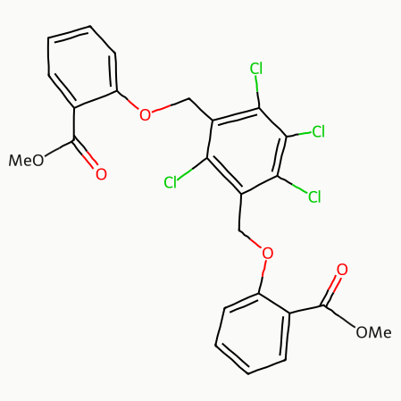 COC(=O)c1ccccc1OCc1c(Cl)c(Cl)c(Cl)c(COc2ccccc2C(=O)OC)c1Cl